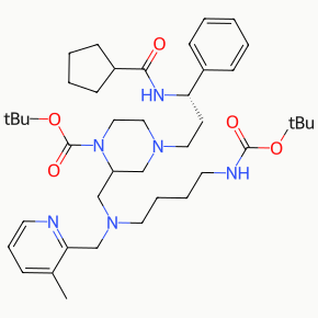 Cc1cccnc1CN(CCCCNC(=O)OC(C)(C)C)CC1CN(CC[C@H](NC(=O)C2CCCC2)c2ccccc2)CCN1C(=O)OC(C)(C)C